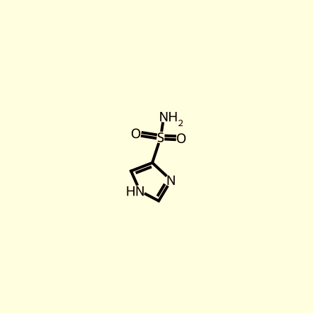 NS(=O)(=O)c1c[nH]cn1